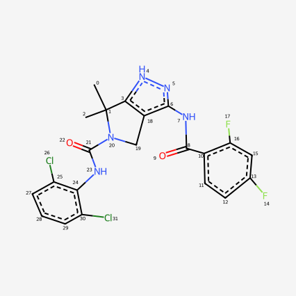 CC1(C)c2[nH]nc(NC(=O)c3ccc(F)cc3F)c2CN1C(=O)Nc1c(Cl)cccc1Cl